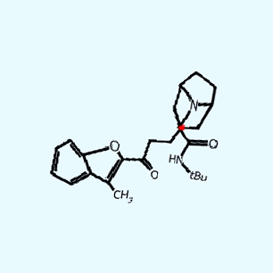 Cc1c(C(=O)CCC2CC3CCC(C2)N3CC(=O)NC(C)(C)C)oc2ccccc12